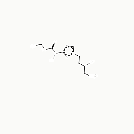 CCOC(=O)CC(O)CCn1ccc(N(S)C(=O)NCC(F)(F)F)n1